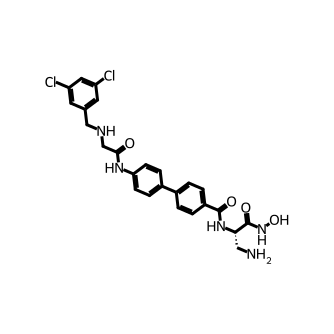 NC[C@H](NC(=O)c1ccc(-c2ccc(NC(=O)CNCc3cc(Cl)cc(Cl)c3)cc2)cc1)C(=O)NO